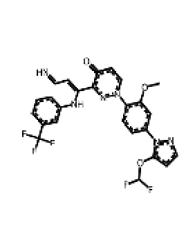 COc1cc(-n2nccc2OC(F)F)ccc1-n1ccc(=O)c(/C(=C/C=N)Nc2cccc(C(F)(F)F)c2)n1